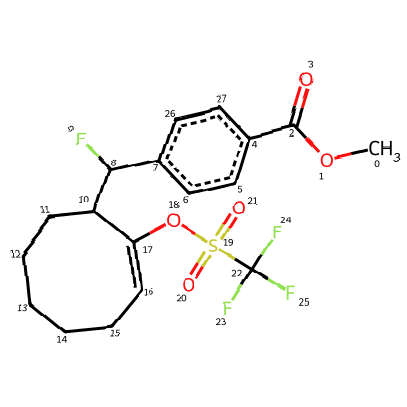 COC(=O)c1ccc(C(F)C2CCCCCC=C2OS(=O)(=O)C(F)(F)F)cc1